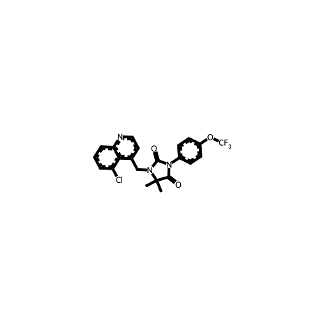 CC1(C)C(=O)N(c2ccc(OC(F)(F)F)cc2)C(=O)N1Cc1ccnc2cccc(Cl)c12